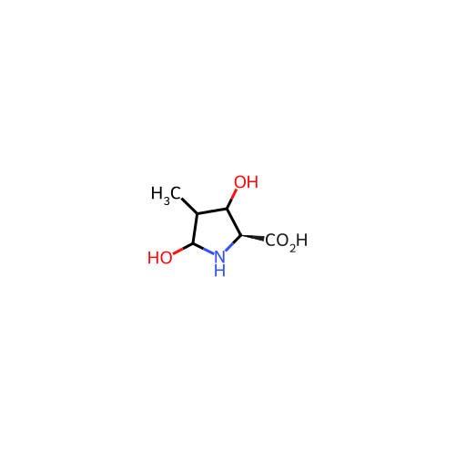 CC1C(O)N[C@H](C(=O)O)C1O